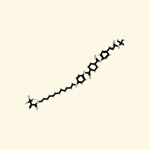 C=C(C(=O)OCCCCCCCCCCCCOc1ccc(OC(=O)C2CCC(C(=O)Oc3ccc(/C=C/C(=O)OC(C)(C)C)cc3)CC2)cc1)C(F)(F)F